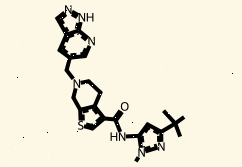 Cn1nc(C(C)(C)C)cc1NC(=O)c1csc2c1CCN(Cc1cnc3[nH]ncc3c1)C2